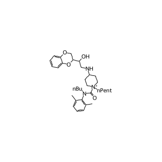 CCCCC[N+]1(C(=O)N(CCCC)c2c(C)cccc2C)CCC(NCC(O)C2COc3ccccc3O2)CC1